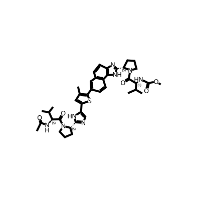 COC(=O)N[C@H](C(=O)N1CCC[C@H]1c1nc2ccc3cc(-c4sc(-c5cnc([C@@H]6CCCN6C(=O)[C@@H](NC(C)=O)C(C)C)[nH]5)cc4C)ccc3c2[nH]1)C(C)C